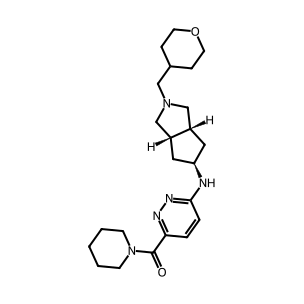 O=C(c1ccc(N[C@H]2C[C@@H]3CN(CC4CCOCC4)C[C@@H]3C2)nn1)N1CCCCC1